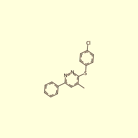 Cc1cc(-c2ccccc2)nnc1Sc1ccc(Cl)cc1